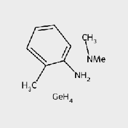 CNC.Cc1ccccc1N.[GeH4]